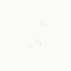 CN(C)C(=O)[C@H]1C[C@@H](c2ccc(CN3CCCC3)c(F)c2)C1